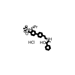 CC(C)Sc1cc(-c2ccc(CCN[C@@H](C)[C@@H](O)c3ccccc3)cc2)ccc1C(=O)NS(C)(=O)=O.Cl